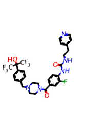 O=C(NCCc1ccncc1)Nc1ccc(C(=O)N2CCN(Cc3ccc(C(O)(C(F)(F)F)C(F)(F)F)cc3)CC2)cc1F